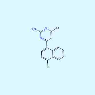 CCc1cc(-c2ccc(Cl)c3ccccc23)nc(N)n1